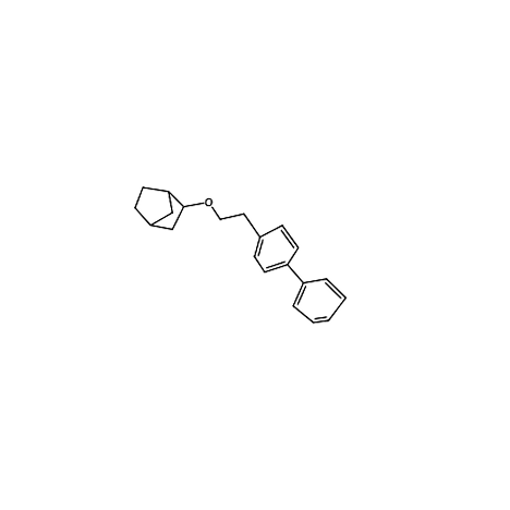 c1ccc(-c2ccc(CCOC3CC4CCC3C4)cc2)cc1